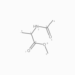 [CH2]C(NC(C)=O)C(=O)OC